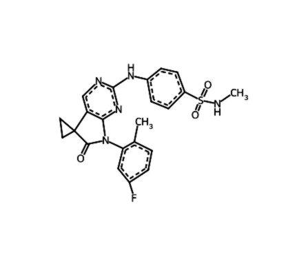 CNS(=O)(=O)c1ccc(Nc2ncc3c(n2)N(c2cc(F)ccc2C)C(=O)C32CC2)cc1